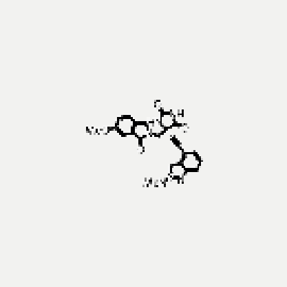 CNS1=Nc2cccc(C#C[C@]3(CN4Cc5ccc(OC)cc5C4=O)NC(=O)NC3=O)c2C1